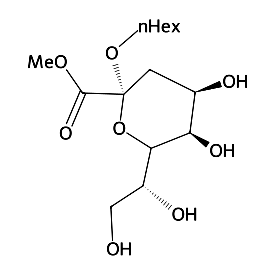 CCCCCCO[C@]1(C(=O)OC)C[C@@H](O)[C@@H](O)C([C@H](O)CO)O1